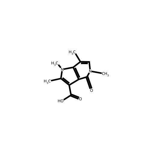 Cc1cn(C)c(=O)c2c(C(=O)O)c(C)n(C)c12